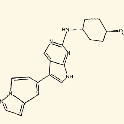 CO[C@H]1CC[C@H](Nc2ncc3c(-c4ccn5nccc5c4)c[nH]c3n2)CC1